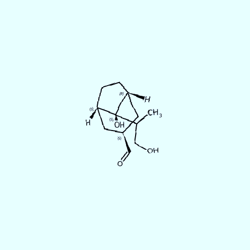 CC(CO)[C@@]1(O)[C@@H]2CC[C@H]1C[C@H](C=O)C2